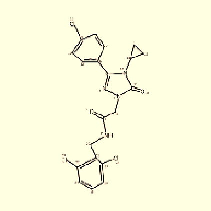 O=C(Cn1nc(-c2ccc(Cl)cc2)n(C2CC2)c1=O)NCc1c(Cl)cccc1Cl